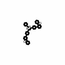 c1ccc(-c2nc(-c3ccc(-c4ccc5oc6ccccc6c5c4)cc3)cc(-c3ccc(-c4cccc5oc6ccccc6c45)cc3)n2)cc1